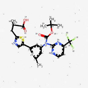 Cc1cc(-c2cnc(C[C@@H](C)C(=O)O)s2)cc(N(C(=O)OC(C)(C)C)c2nccc(C(F)(F)F)n2)c1